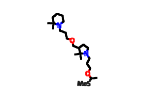 CSC(C)OCCCN1CCC(COCCCN2CCCCC2(C)C)C1(C)C